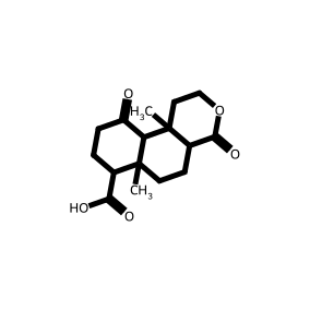 CC12CCC3C(=O)OCCC3(C)C1C(=O)CCC2C(=O)O